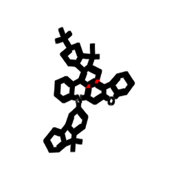 CC(C)(C)c1ccc2c(c1)C(C)(C)c1cccc(-c3ccccc3N(c3ccc4c(c3)-c3ccccc3C4(C)C)c3ccc4c(c3)oc3ccccc34)c1-2